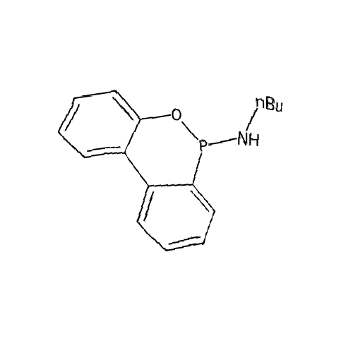 CCCCNP1Oc2ccccc2-c2ccccc21